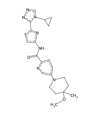 COC1(C)CCN(c2ccc(C(=O)Nc3csc(-c4nncn4C4CC4)n3)nc2)CC1